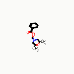 C[C@@H]1CN(COC(=O)c2ccccc2)C[C@H](C)O1